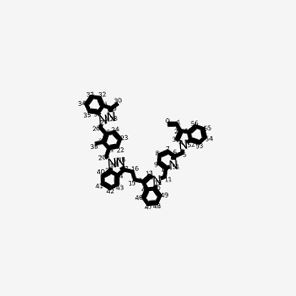 C=Cc1cn(Cc2cccc(Cn3cc(CCc4nn(Cc5cccc(Cn6nc(C)c7ccccc76)c5C)c5ccccc45)c4ccccc43)n2)c2ccccc12